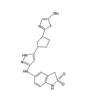 CC(C)(C)c1cnc(C2CCC(c3cc(Nc4ccc5c(c4)CS(=O)(=O)N5)n[nH]3)C2)s1